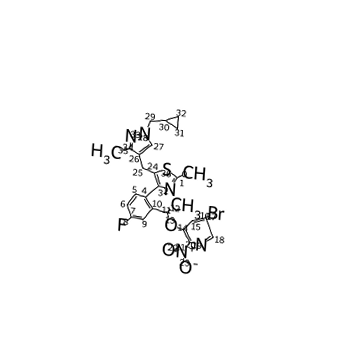 Cc1nc(-c2ccc(F)cc2[C@@H](C)Oc2cc(Br)cnc2[N+](=O)[O-])c(Cc2cn(CC3CC3)nc2C)s1